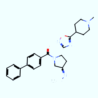 CON=C1C[C@@H](c2noc(C3CCN(C)CC3)n2)N(C(=O)c2ccc(-c3ccccc3)cc2)C1